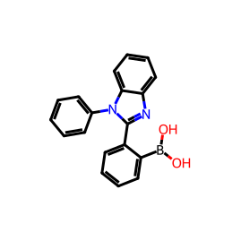 OB(O)c1ccccc1-c1nc2ccccc2n1-c1ccccc1